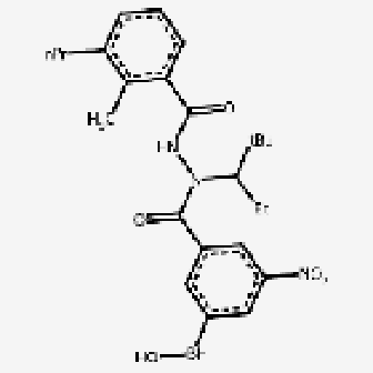 CCCc1cccc(C(=O)NN(C(=O)c2cc(BO)cc([N+](=O)[O-])c2)C(CC)C(C)(C)C)c1C